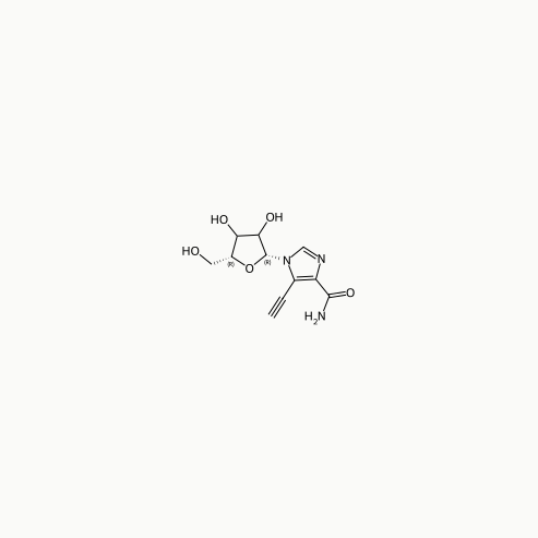 C#Cc1c(C(N)=O)ncn1[C@@H]1O[C@H](CO)C(O)C1O